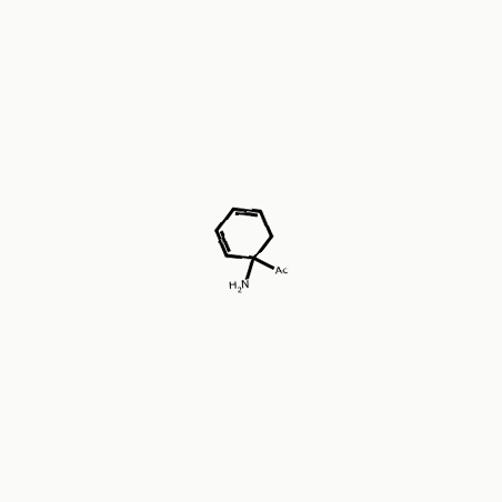 CC(=O)C1(N)C=CC=CC1